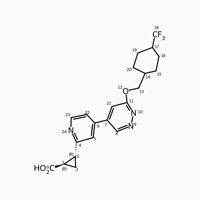 O=C(O)[C@@H]1C[C@H]1c1cc(-c2cnnc(OCC3CCC(C(F)(F)F)CC3)c2)ccn1